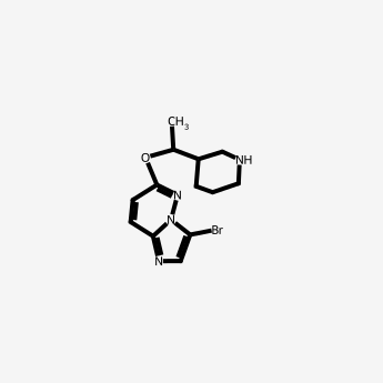 CC(Oc1ccc2ncc(Br)n2n1)C1CCCNC1